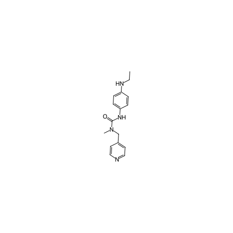 CCNc1ccc(NC(=O)N(C)Cc2ccncc2)cc1